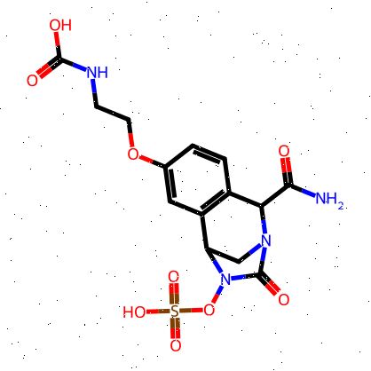 NC(=O)C1c2ccc(OCCNC(=O)O)cc2C2CN1C(=O)N2OS(=O)(=O)O